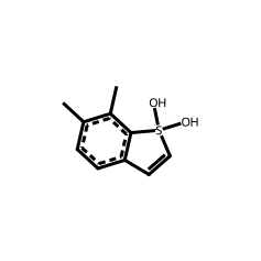 Cc1ccc2c(c1C)S(O)(O)C=C2